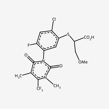 COCC(Sc1cc(-n2c(=O)c(C)c(C(F)(F)F)n(C)c2=O)c(F)cc1Cl)C(=O)O